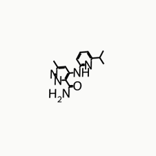 Cc1cc(Nc2cccc(C(C)C)n2)c(C(N)=O)nn1